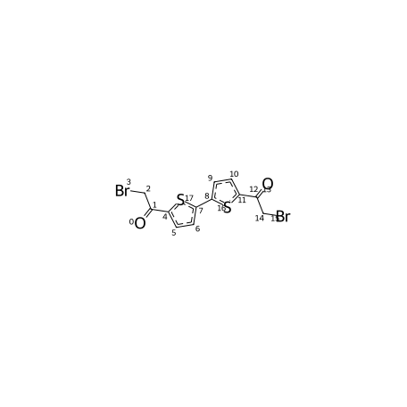 O=C(CBr)c1ccc(-c2ccc(C(=O)CBr)s2)s1